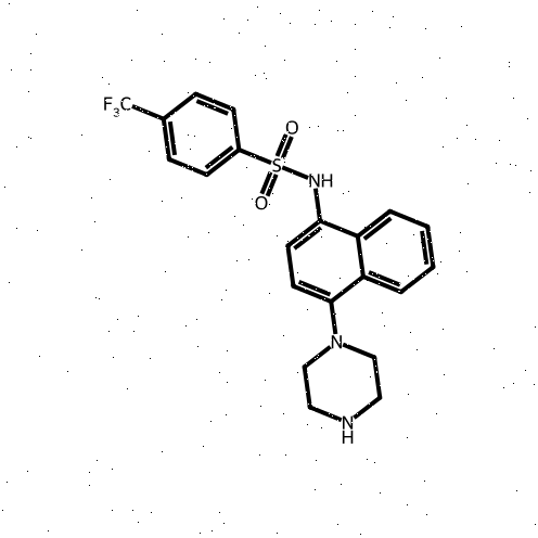 O=S(=O)(Nc1ccc(N2CCNCC2)c2ccccc12)c1ccc(C(F)(F)F)cc1